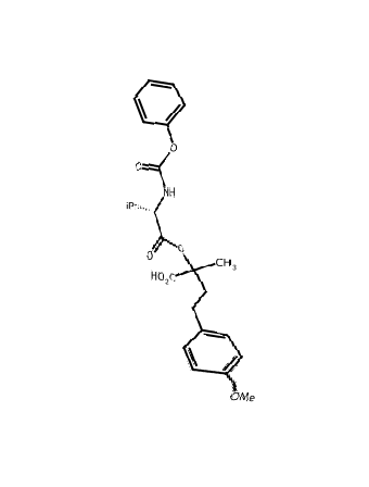 COc1ccc(CCC(C)(OC(=O)[C@@H](NC(=O)Oc2ccccc2)C(C)C)C(=O)O)cc1